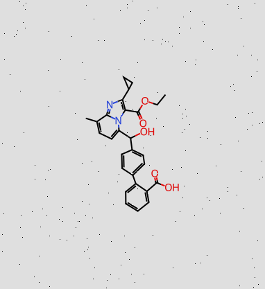 CCOC(=O)c1c(C2CC2)nc2c(C)ccc(C(O)c3ccc(-c4ccccc4C(=O)O)cc3)n12